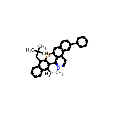 Cc1c2c(c(CC(C)(C)C)c3ccccc13)Sc1cc3ccc(-c4ccccc4)cc3c3cc[n+](C)c-2c13